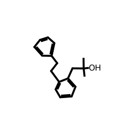 CC(C)(O)Cc1ccccc1CCc1ccccc1